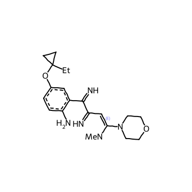 CCC1(Oc2ccc(N)c(C(=N)C(=N)/C=C(\NC)N3CCOCC3)c2)CC1